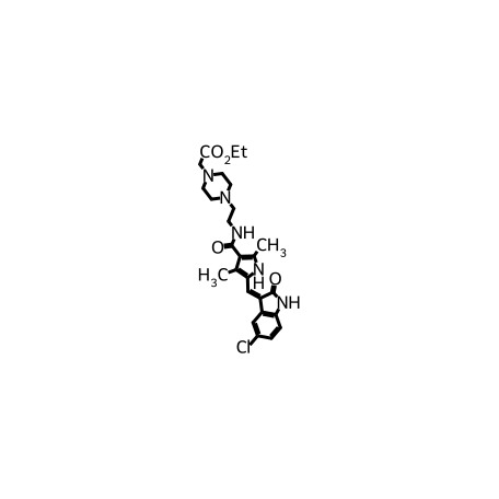 CCOC(=O)CN1CCN(CCNC(=O)c2c(C)[nH]c(/C=C3\C(=O)Nc4ccc(Cl)cc43)c2C)CC1